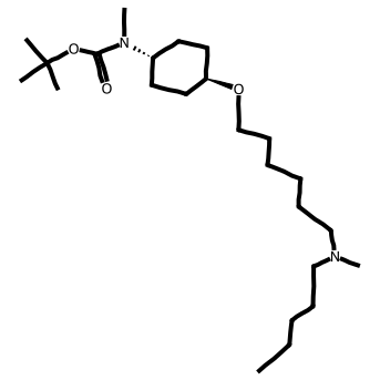 CCCCCN(C)CCCCCCO[C@H]1CC[C@H](N(C)C(=O)OC(C)(C)C)CC1